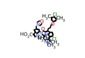 Cc1cc(OCCCc2c3n(c4c(-c5c(C)nn(C)c5C)c(Cl)ccc24)C(C)CN(c2cc(CN4CCOCC4)cc4c(C(=O)O)cn(C)c24)C3=O)cc(C)c1Cl